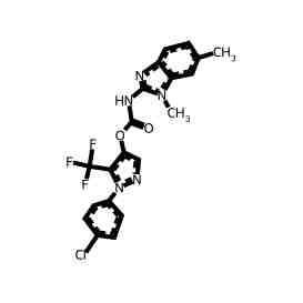 Cc1ccc2nc(NC(=O)Oc3cnn(-c4ccc(Cl)cc4)c3C(F)(F)F)n(C)c2c1